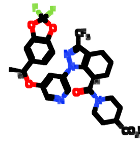 C[C@H](Oc1cncc(-n2nc(C(F)(F)F)c3c2[C@H](C(=O)N2CCC(C(=O)O)CC2)CCC3)c1)c1ccc2c(c1)OC(F)(F)O2